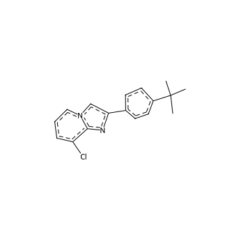 CC(C)(C)c1ccc(-c2cn3cccc(Cl)c3n2)cc1